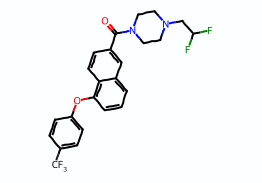 O=C(c1ccc2c(Oc3ccc(C(F)(F)F)cc3)cccc2c1)N1CCN(CC(F)F)CC1